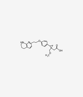 COCC1(CC(=O)O)CC1c1ccc(OCCc2ccc3c(n2)NCCC3)cc1